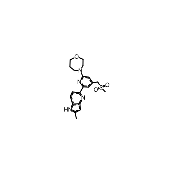 [CH2]c1cc2nc(-c3cc(CS(C)(=O)=O)cc(N4CCCOCC4)n3)ccc2[nH]1